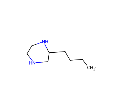 [CH2]CCCC1CNCCN1